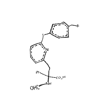 CC(C)C(Cc1cccc(Oc2ccc(F)cc2)n1)(NC=O)C(=O)O